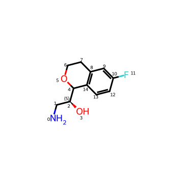 NC[C@H](O)C1OCCc2cc(F)ccc21